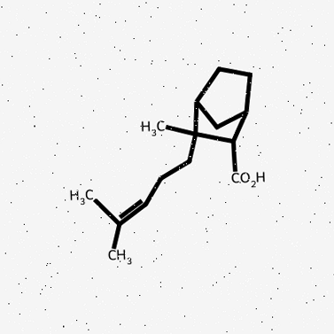 CC(C)=CCCC1(C)C2CCC(C2)C1C(=O)O